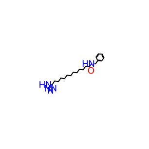 O=C(CCCCCCCCCCCc1nnn[nH]1)NCc1ccccc1